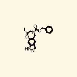 CC[C@@H]1CN(C(=O)OCc2ccccc2)Cc2cc3cn[nH]c3cc2O1